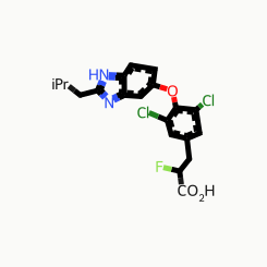 CC(C)Cc1nc2cc(Oc3c(Cl)cc(CC(F)C(=O)O)cc3Cl)ccc2[nH]1